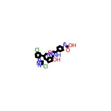 CN(C(=O)O)c1ccc(-c2cnc(C3(O)CCc4cc(-c5cc(Cl)ccc5-n5cc(Cl)nn5)c[n+]([O-])c43)[nH]2)cc1